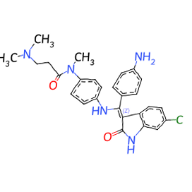 CN(C)CCC(=O)N(C)c1ccc(N/C(=C2\C(=O)Nc3cc(Cl)ccc32)c2ccc(N)cc2)cc1